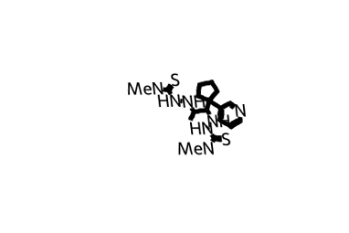 CNC(=S)NNC(C)C(NNC(=S)NC)C1(c2cccnc2)CCCC1